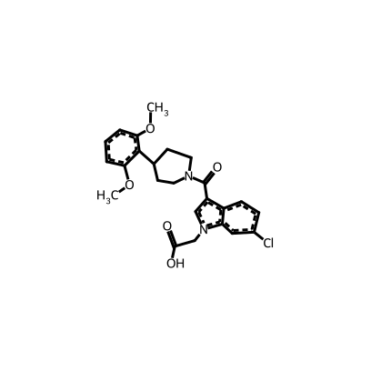 COc1cccc(OC)c1C1CCN(C(=O)c2cn(CC(=O)O)c3cc(Cl)ccc23)CC1